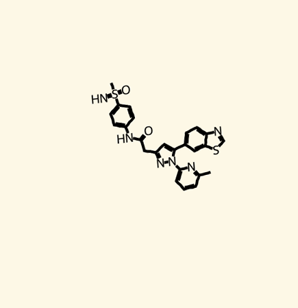 Cc1cccc(-n2nc(CC(=O)Nc3ccc(S(C)(=N)=O)cc3)cc2-c2ccc3ncsc3c2)n1